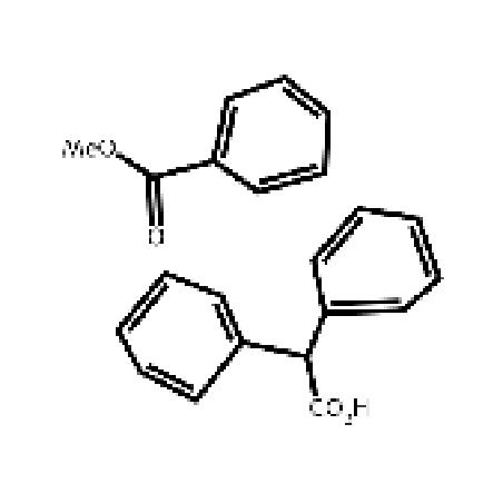 COC(=O)c1ccccc1.O=C(O)C(c1ccccc1)c1ccccc1